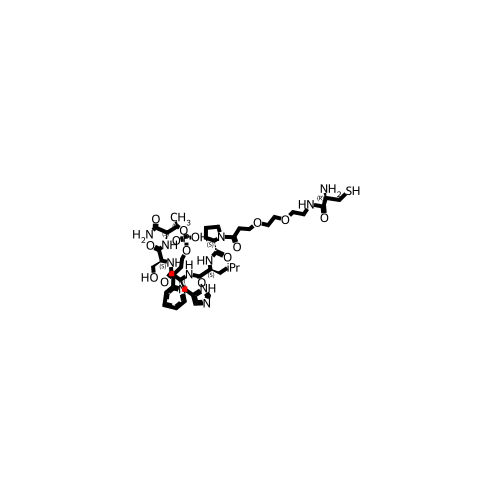 CC(C)C[C@H](NC(=O)[C@@H]1CCCN1C(=O)CCOCCOCCNC(=O)[C@@H](N)CS)C(=O)N[C@@H](Cc1cnc[nH]1)C(=O)N[C@@H](CO)C(=O)N[C@H](C(N)=O)[C@@H](C)OP(=O)(O)OCCCc1ccccn1